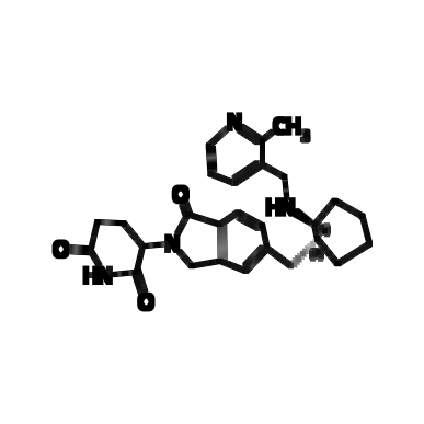 Cc1ncccc1CN[C@H]1CCCC[C@@H]1Cc1ccc2c(c1)CN(C1CCC(=O)NC1=O)C2=O